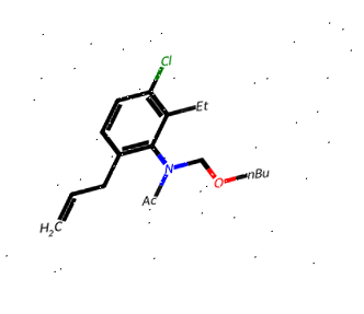 C=CCc1ccc(Cl)c(CC)c1N(COCCCC)C(C)=O